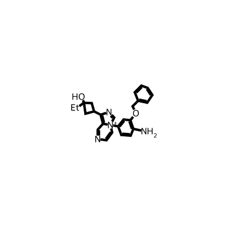 CCC1(O)CC(C2=C3C=NC=C[N+]3(c3ccc(N)c(OCc4ccccc4)c3)C=N2)C1